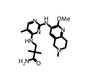 COc1nc2c(cc1Nc1ncc(C)c(NCC(C)(C)C(N)=O)n1)CN(C)CC2